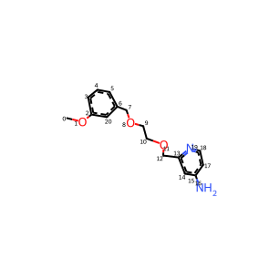 COc1cccc(COCCOCc2cc(N)ccn2)c1